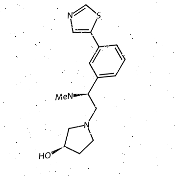 CN[C@H](CN1CC[C@@H](O)C1)c1cccc(-c2cncs2)c1